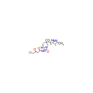 Cc1nnc(SCC2(C(=O)O)CS[C@@H]3C(NC(=O)CC(=O)CCl)C(=O)N3C2)s1